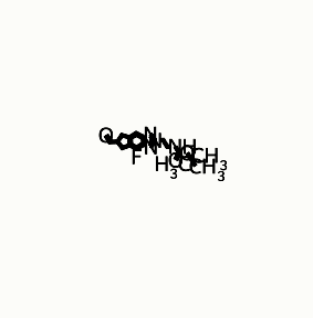 CC(C)(C)OC(=O)NCCn1nc2cc3c(c(F)c2n1)CC(C=O)C3